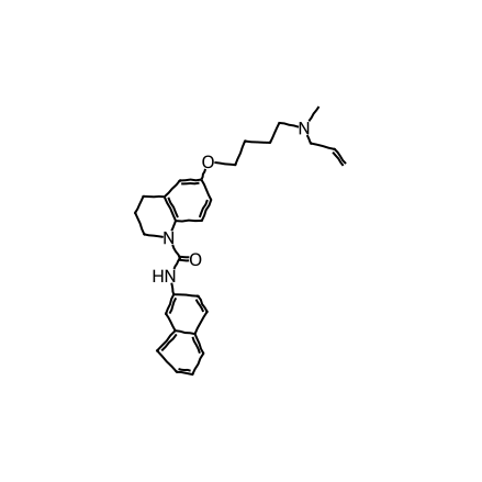 C=CCN(C)CCCCOc1ccc2c(c1)CCCN2C(=O)Nc1ccc2ccccc2c1